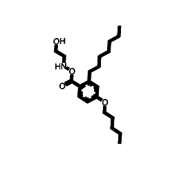 CCCCCCCc1cc(OCCCCC)ccc1C(=O)ONCCO